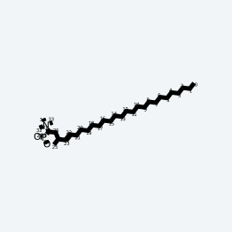 CCCCCCCCCCCCCCCCCCCCCCC=CC(C)CC(P(=O)=O)[N+](C)(C)C